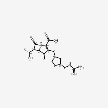 CC1C(CN2CC[C@H](CNC(=N)N)C2)=C(C(=O)O)N2C(=O)C([C@@H](C)O)C12